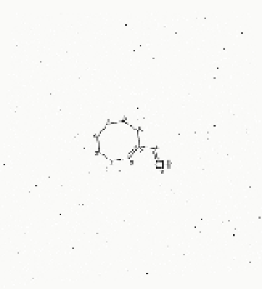 [CH]=C/C1=C/CCCCCC1